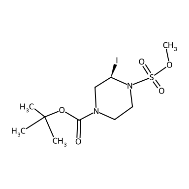 COS(=O)(=O)N1CCN(C(=O)OC(C)(C)C)C[C@H]1I